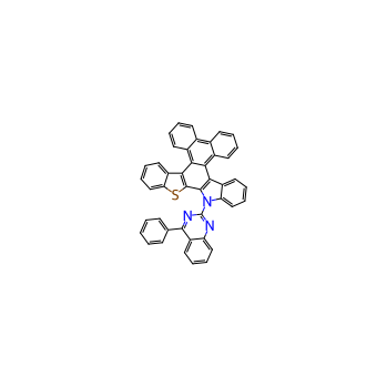 c1ccc(-c2nc(-n3c4ccccc4c4c5c6ccccc6c6ccccc6c5c5c6ccccc6sc5c43)nc3ccccc23)cc1